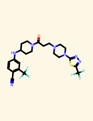 N#Cc1ccc(NC2CCN(C(=O)CCN3CCN(c4nnc(C(F)(F)F)s4)CC3)CC2)cc1C(F)(F)F